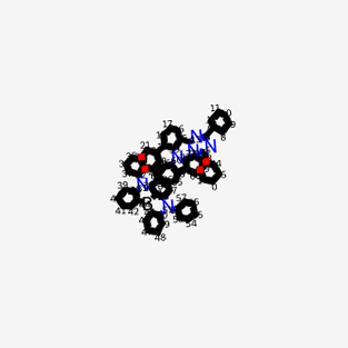 c1ccc(-c2nc(-c3ccccc3)nc(-c3cccc(-c4cccc(-c5ccc6c7c5N(c5ccccc5)c5ccccc5B7c5ccccc5N6c5ccccc5)c4)c3-n3c4ccccc4c4ccccc43)n2)cc1